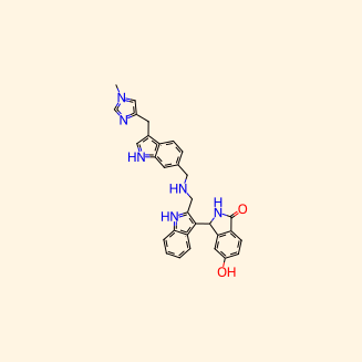 Cn1cnc(Cc2c[nH]c3cc(CNCc4[nH]c5ccccc5c4C4NC(=O)c5ccc(O)cc54)ccc23)c1